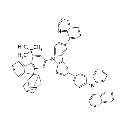 CS(C)(C)c1cc(-n2c3ccc(-c4ccc5c(c4)c4ccccc4n5-c4cccc5ccccc45)cc3c3cc(-c4cccc5cccnc45)ccc32)cc2c1-c1ccccc1C21C2CC3CC(C2)CC1C3